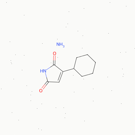 N.O=C1C=C(C2CCCCC2)C(=O)N1